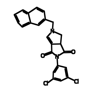 O=C1C2=CN(Cc3ccc4ccccc4c3)CC2C(=O)N1c1cc(Cl)cc(Cl)c1